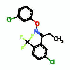 CC/C(=N\Oc1cccc(Cl)c1)c1cc(Cl)ccc1C(F)(F)F